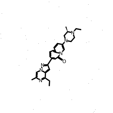 CCc1nc(C)cn2nc(C3=C\C(=O)N4C=C(N5CCN(CC)[C@H](C)C5)C=C\C4=C/C=C/3)cc12